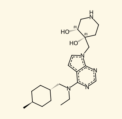 CCN(C[C@H]1CC[C@H](C)CC1)c1ncnc2c1ccn2C[C@]1(O)CCNC[C@H]1O